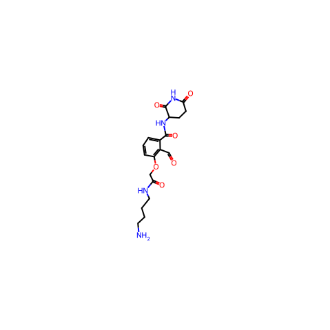 NCCCCNC(=O)COc1cccc(C(=O)NC2CCC(=O)NC2=O)c1C=O